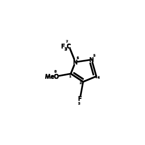 COc1c(F)[c]nn1C(F)(F)F